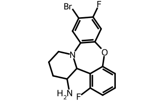 NC1CCCN2c3cc(Br)c(F)cc3Oc3cccc(F)c3C12